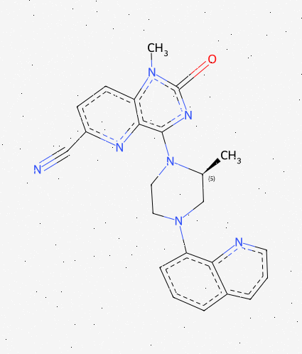 C[C@H]1CN(c2cccc3cccnc23)CCN1c1nc(=O)n(C)c2ccc(C#N)nc12